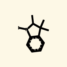 CC1N(I)c2ccccc2C1(C)C